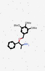 COc1cc(COC(c2ccccc2)C(C)N)cc(OC)c1OC